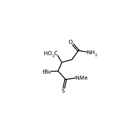 CNC(=S)C(C(CC(N)=O)C(=O)O)C(C)(C)C